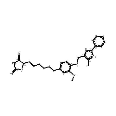 COc1cc(CCCCCCC2OC(=O)NC2=O)ccc1OCc1nc(-c2ccccc2)oc1C